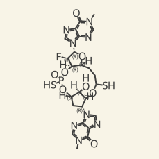 Cn1cnc2c(ncn2[C@@H]2C[C@@H]3OP(=O)(S)O[C@H]4[C@@H](F)[C@H](n5cnc6c(=O)n(C)cnc65)O[C@@H]4CCC(S)O[C@@H]2[C@@H]3O)c1=O